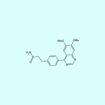 COc1cc2c(-c3ccc(CCC(N)=O)cc3)ncnc2cc1OCC(C)C